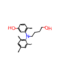 Cc1cc(C)c(N(CCCCO)c2cc(O)ccc2C)c(C)c1